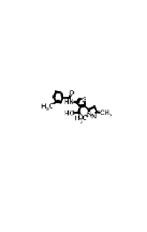 Cc1cccc(C(=O)Nc2csc(-c3cc(C)nn3C)c2C(=O)O)c1